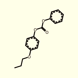 CCCOc1ccc(OC(=O)Oc2ccccc2)cc1